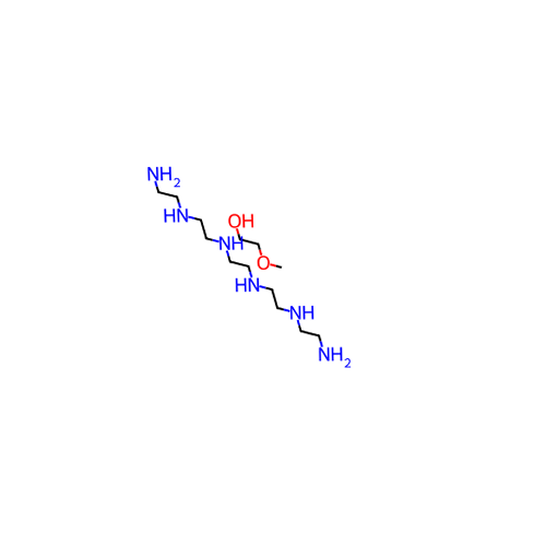 COCCO.NCCNCCNCCNCCNCCN